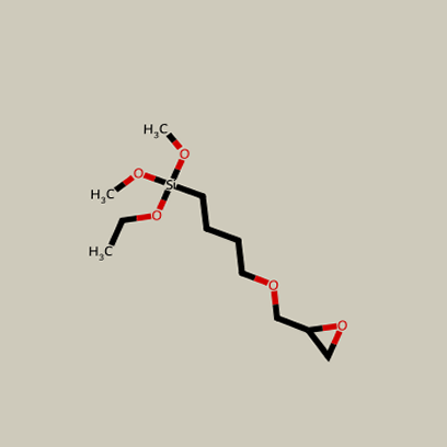 CCO[Si](CCCCOCC1CO1)(OC)OC